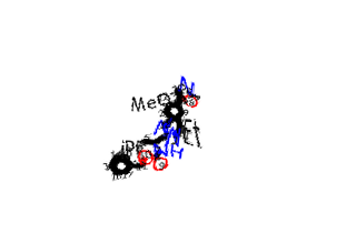 CCc1nc(C(CC(C)C)NC(=O)OCc2ccccc2)nc2cc(OC)c(-c3cnco3)cc12